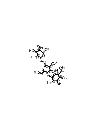 C[C@H]1OC(CO[C@H]2OC(CO)[C@H](O[C@H]3OC(CO)[C@@H](O)C(O)C3O)C(O)C2O)[C@@H](O)C(O)C1O